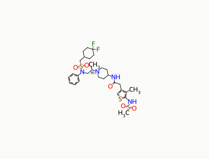 Cc1c(CC(=O)NC2CCN([C@H](C)CN(c3ccccc3)S(=O)(=O)CC3CCC(F)(F)CC3)CC2)csc1NS(C)(=O)=O